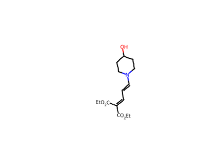 CCOC(=O)C(=C/C=C/N1CCC(O)CC1)C(=O)OCC